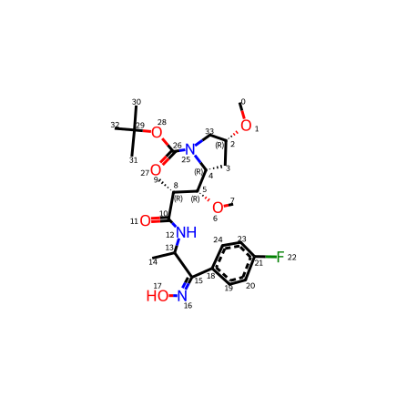 CO[C@@H]1C[C@H]([C@H](OC)[C@@H](C)C(=O)NC(C)C(=NO)c2ccc(F)cc2)N(C(=O)OC(C)(C)C)C1